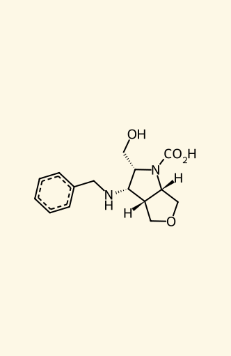 O=C(O)N1[C@@H]2COC[C@@H]2[C@H](NCc2ccccc2)[C@@H]1CO